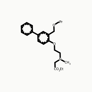 CCOC(=O)CN(C)CCOc1ccc(-c2ccccc2)cc1COC(C)C